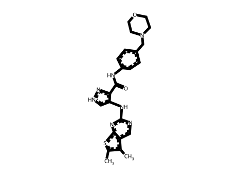 Cc1sc2nc(Nc3c[nH]nc3C(=O)Nc3ccc(CN4CCOCC4)cc3)ncc2c1C